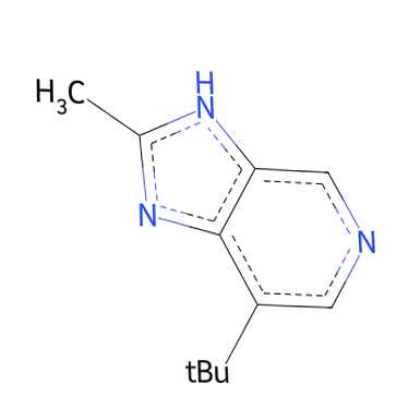 Cc1nc2c(C(C)(C)C)cncc2[nH]1